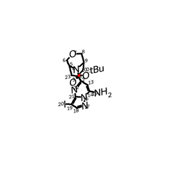 CC(C)(C)OC(=O)N1C2COCC1CC(c1cc(N)n3ncc(I)c3n1)C2